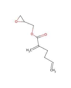 C=CCCC(=C)C(=O)OCC1CO1